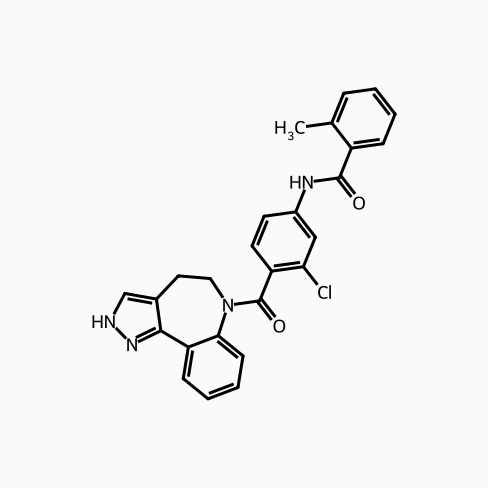 Cc1ccccc1C(=O)Nc1ccc(C(=O)N2CCc3c[nH]nc3-c3ccccc32)c(Cl)c1